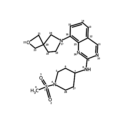 CS(=O)(=O)N1CCC(Nc2ncc3cccc(N4CCC5(COC5)C4)c3n2)CC1